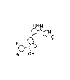 COc1ccc(-c2n[nH]c3ccc(-c4ccn([C@H](CO)c5cc(F)cc(Br)c5)c(=O)c4)cc23)cn1